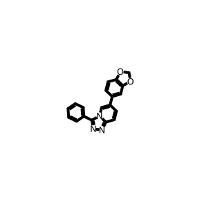 c1ccc(-c2nnc3ccc(-c4ccc5c(c4)OCO5)cn23)cc1